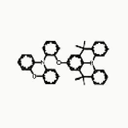 CC1(C)c2ccccc2B2c3ccccc3C(C)(C)c3cc(Oc4ccccc4N4c5ccccc5Oc5ccccc54)cc1c32